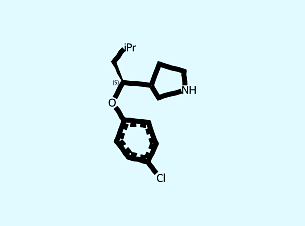 CC(C)C[C@H](Oc1ccc(Cl)cc1)C1CCNC1